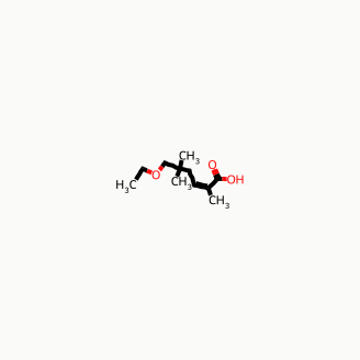 CCOCC(C)(C)CC=C(C)C(=O)O